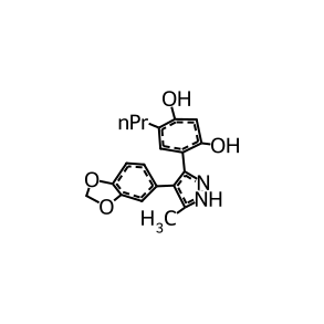 CCCc1cc(-c2n[nH]c(C)c2-c2ccc3c(c2)OCO3)c(O)cc1O